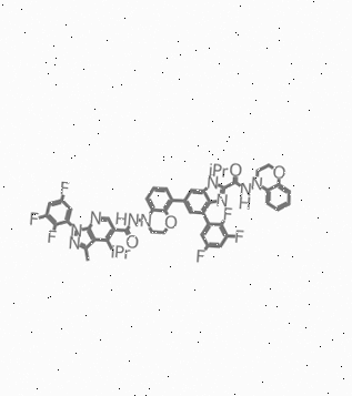 Cc1nn(-c2cc(F)cc(F)c2F)c2ncc(C(=O)NN3CCOc4c(-c5cc(-c6cc(F)cc(F)c6F)c6nc(C(=O)NN7CCOc8ccccc87)n(C(C)C)c6c5)cccc43)c(C(C)C)c12